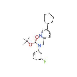 CC(C)(C)OC(=O)N(Cc1ccc(C2CCCCC2)cn1)c1cccc(F)c1